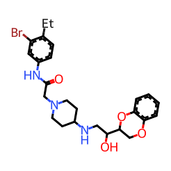 CCc1ccc(NC(=O)CN2CCC(NCC(O)C3COc4ccccc4O3)CC2)cc1Br